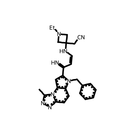 CCN1CC(CC#N)(N/C=C\C(=N)c2cc3c(ccc4nnc(C)n43)n2Cc2ccccc2)C1